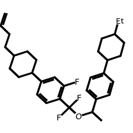 C=CCCC1CCC(c2ccc(C(F)(F)OC(C)c3ccc(C4CCC(CC)CC4)cc3)c(F)c2)CC1